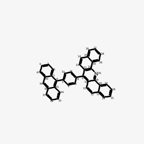 c1ccc2c(-c3ccc(-c4c5ccc6ccccc6c5nc5c4ccc4ccccc45)cc3)c3ccccc3cc2c1